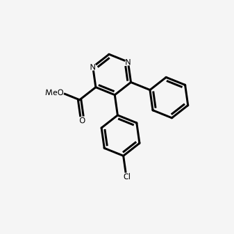 COC(=O)c1ncnc(-c2ccccc2)c1-c1ccc(Cl)cc1